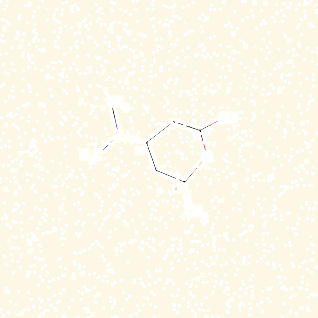 C[C@@H]1C[C@H](N(C)C)CC(O)O1